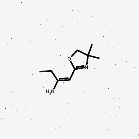 CC/C(N)=C\C1=NC(C)(C)CO1